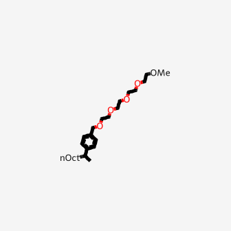 CCCCCCCCC(C)c1ccc(COCCOCCOCCOCCOC)cc1